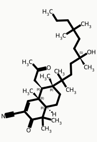 CCCC(C)(C)CC[C@](C)(O)CCC(C)(C)[C@]1(C)CC[C@H]2C(C)(C)C(=O)C(C#N)=C[C@]2(C)[C@H]1CC(C)=O